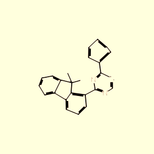 CC1(C)c2ccccc2-c2cccc(-c3ncnc(-c4ccccc4)n3)c21